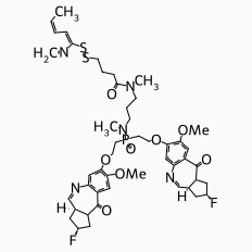 C=N/C(=C\C=C/C)SSCCCC(=O)N(C)CCCN(C)P(=O)(CCOc1cc2c(cc1OC)C(=O)C1C[C@@H](F)C[C@H]1C=N2)CCOc1cc2c(cc1OC)C(=O)C1C[C@@H](F)C[C@H]1C=N2